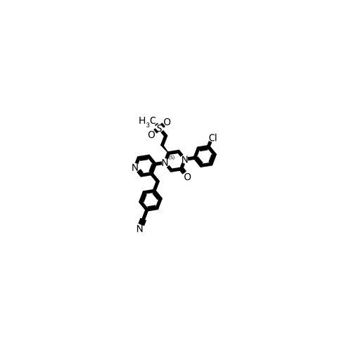 CS(=O)(=O)CC[C@H]1CN(c2cccc(Cl)c2)C(=O)CN1c1ccncc1Cc1ccc(C#N)cc1